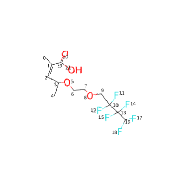 CC(=CC(C)OCCOCC(F)(F)C(F)(F)C(F)F)C(=O)O